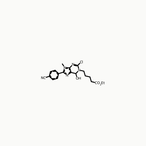 CCOC(=O)CCCCN1C(Cl)=Nc2c(nc(-c3ccc(C#N)cc3)n2C)C1O